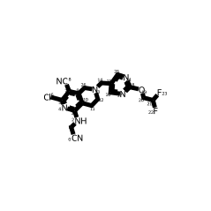 N#CCNc1nc(Cl)c(C#N)c2c1CCN(Cc1cnc(OCC(F)F)nc1)C2